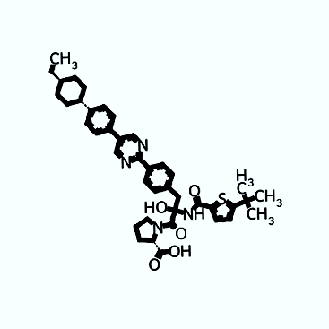 CC[C@H]1CC[C@H](c2ccc(-c3cnc(-c4ccc(CC(O)(NC(=O)c5ccc(C(C)(C)C)s5)C(=O)N5CCC[C@H]5C(=O)O)cc4)nc3)cc2)CC1